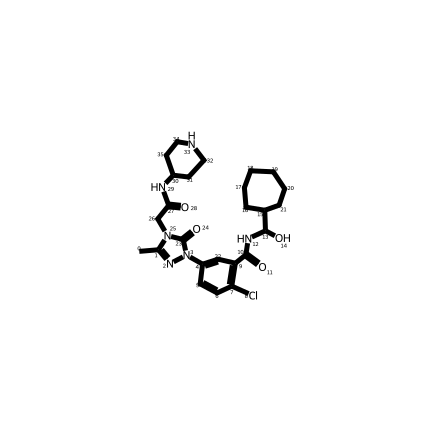 Cc1nn(-c2ccc(Cl)c(C(=O)NC(O)C3CCCCCC3)c2)c(=O)n1CC(=O)NC1CCNCC1